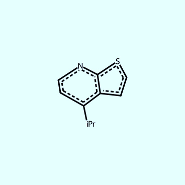 CC(C)c1ccnc2sccc12